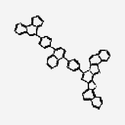 c1ccc2c(c1)ccc1c2nc2c3sc4c5ccccc5ccc4c3cc(-c3ccc(-c4ccc(-c5ccc(-c6cc7cccnc7c7ccccc67)cc5)c5ccccc45)cc3)n12